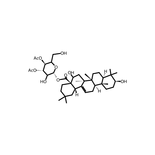 CC(=O)O[C@H]1C(CO)O[C@H](OC(=O)[C@]23CCC(C)(C)C[C@H]2C2=CC[C@@H]4[C@@]5(C)CC[C@H](O)C(C)(C)[C@@H]5CC[C@@]4(C)[C@]2(C)CC3O)C(O)[C@@H]1OC(C)=O